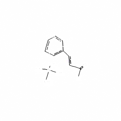 C[N+](C)(C)C.O=C([O-])/C=C/c1ccccc1